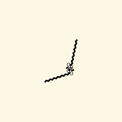 CCCCCCCCCCCCCC(=O)O[Si](CC)(CC)OC(=O)CCCCCCCCCCCCC